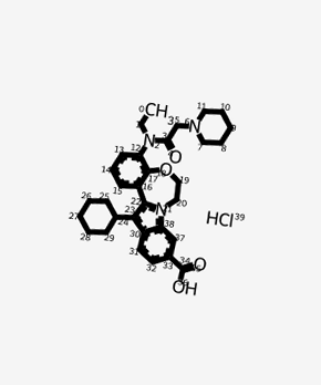 CCN(C(=O)CN1CCCCC1)c1cccc2c1OCCn1c-2c(C2CCCCC2)c2ccc(C(=O)O)cc21.Cl